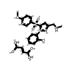 CNCc1cc(S(=O)(=O)c2ccc(OC)nc2)n(-c2ccccc2Cl)n1.O=C(O)/C=C/C(=O)O